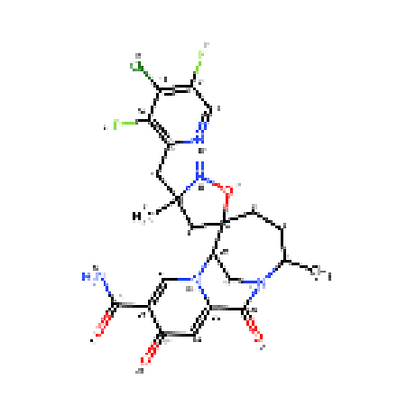 CC1CCC2(CC(C)(Cc3ncc(F)c(Cl)c3F)NO2)C2CN1C(=O)c1cc(=O)c(C(N)=O)cn12